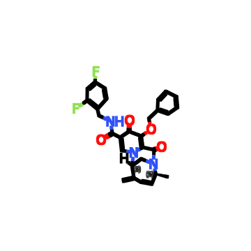 C=C1C=C[C@H](C)N2C[C@H]1n1cc(C(=O)NCc3ccc(F)cc3F)c(=O)c(OCc3ccccc3)c1C2=O